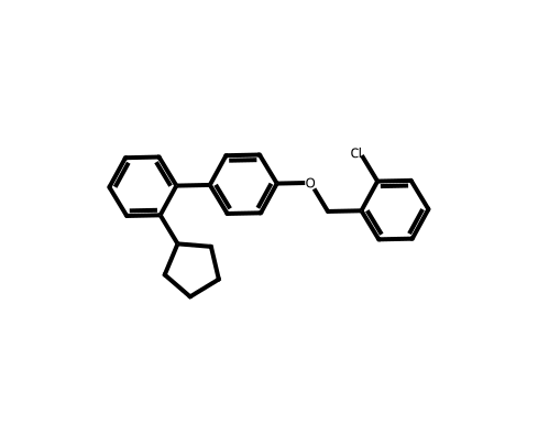 Clc1ccccc1COc1ccc(-c2ccccc2C2CCCC2)cc1